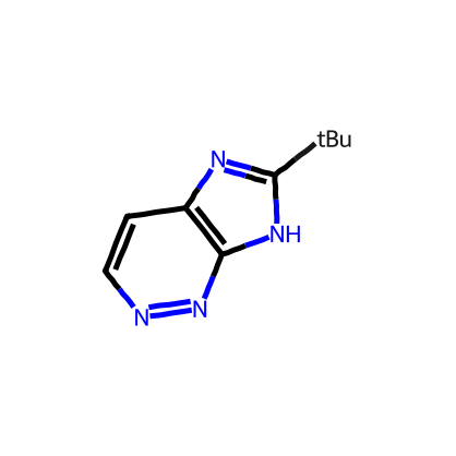 CC(C)(C)c1nc2ccnnc2[nH]1